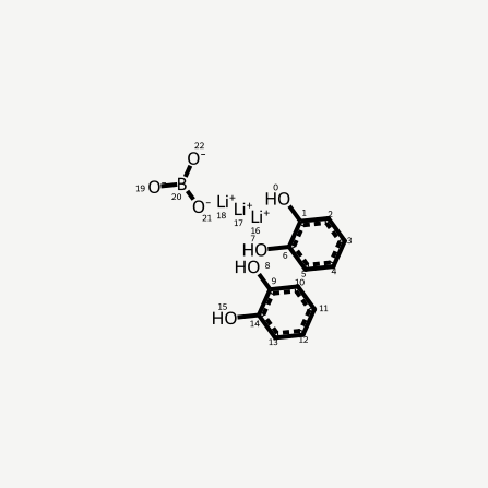 Oc1ccccc1O.Oc1ccccc1O.[Li+].[Li+].[Li+].[O-]B([O-])[O-]